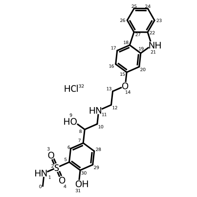 CNS(=O)(=O)c1cc(C(O)CNCCOc2ccc3c(c2)[nH]c2ccccc23)ccc1O.Cl